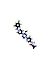 CC[C@H]1CN(c2ncc(NC(=O)C3CC3)cc2Cl)CCN1C1CCN(Cc2ccc(Cl)cc2F)CC1